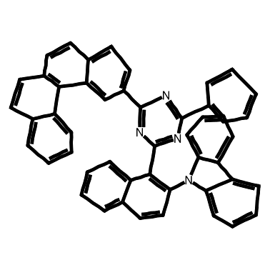 c1ccc(-c2nc(-c3ccc4ccc5ccc6ccccc6c5c4c3)nc(-c3c(-n4c5ccccc5c5ccccc54)ccc4ccccc34)n2)cc1